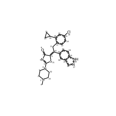 CN1CCN(C2=NC(=O)C(=C(Cc3ccc(Cl)cc3C3CC3)c3ccc4[nH]ncc4c3)S2)CC1